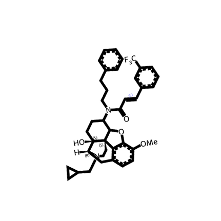 COc1ccc2c3c1OC1C(N(CCCc4ccccc4)C(=O)/C=C/c4cccc(C(F)(F)F)c4)CC[C@@]4(O)[C@@H](C2)N(CC2CC2)CC[C@]314